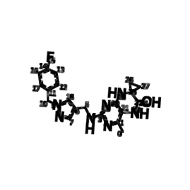 Cc1nc(NCc2cnn(Cc3ccc(F)cc3)c2)nc2c1NC(O)C1(CC1)N2